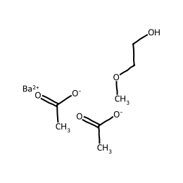 CC(=O)[O-].CC(=O)[O-].COCCO.[Ba+2]